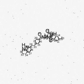 O=C(NC[C@H](NS(=O)(=O)c1ccc(I)cc1)C(=O)O)C1=CCC(CCc2ccc3c(n2)NCCC3)C=C1